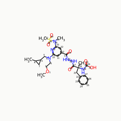 COCCN(CC1CC1C)c1cc(C(=O)NNC(=O)[C@@](C)(Cc2ccccc2)NC(=O)O)cc(N(C)S(C)(=O)=O)n1